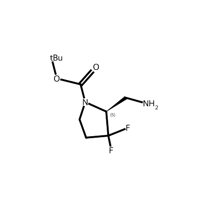 CC(C)(C)OC(=O)N1CCC(F)(F)[C@@H]1CN